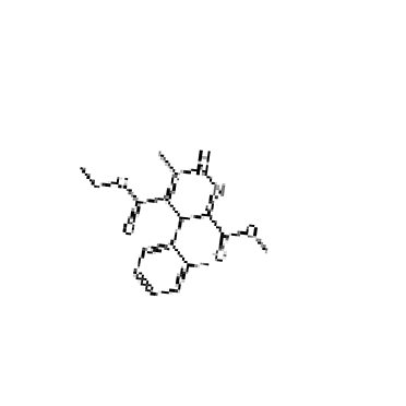 CCOC(=O)C1=C(C)NN=C(C(=O)OC)C1c1ccccc1C